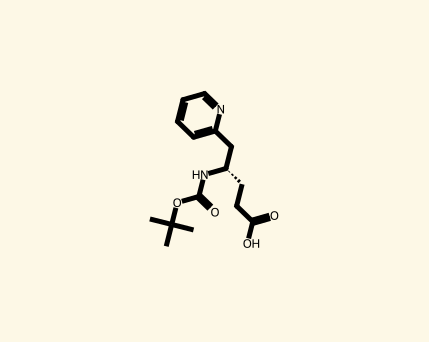 CC(C)(C)OC(=O)N[C@@H](CCC(=O)O)Cc1ccccn1